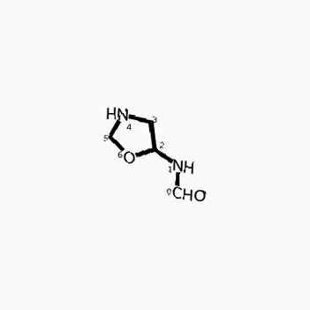 O=CNC1CNCO1